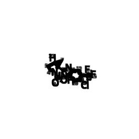 O=C(O)N1CC[C@@H]2C[C@@]21c1nc2cc(C(F)(F)F)c(Cl)cc2[nH]1